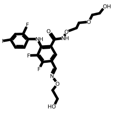 O=C(NOCCOCCO)c1cc(C=NOCCO)c(F)c(F)c1Nc1ccc(I)cc1F